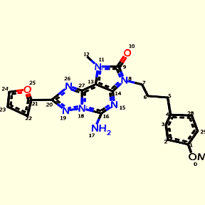 COc1ccc(CCCn2c(=O)n(C)c3c2nc(N)n2nc(-c4ccco4)nc32)cc1